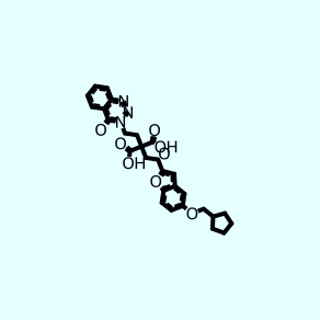 O=C(CC(CCn1nnc2ccccc2c1=O)(C(=O)O)C(=O)O)c1cc2cc(OCC3CCCC3)ccc2o1